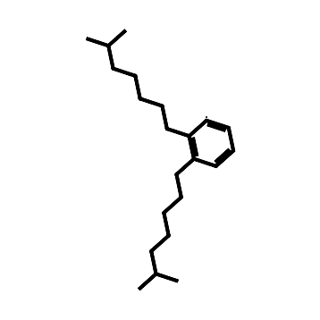 CC(C)CCCCCc1[c]cccc1CCCCCC(C)C